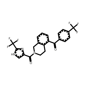 O=C(c1ccc(C(F)(F)F)cc1)c1cccc2c1CCN(C(=O)c1c[nH]c(C(F)(F)F)n1)C2